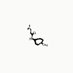 CN(C)CCC(=O)NC1CCC(O)CC1